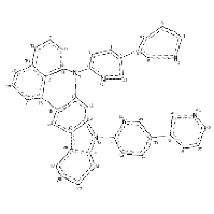 c1cncc(-c2ccc(N3c4cc5c(cc4-c4cccc6cccc3c46)c3ccccc3n5-c3ccc(-c4cccnc4)cn3)nc2)c1